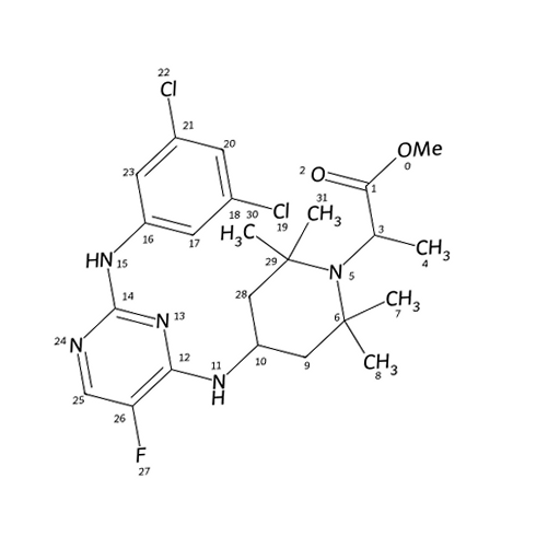 COC(=O)C(C)N1C(C)(C)CC(Nc2nc(Nc3cc(Cl)cc(Cl)c3)ncc2F)CC1(C)C